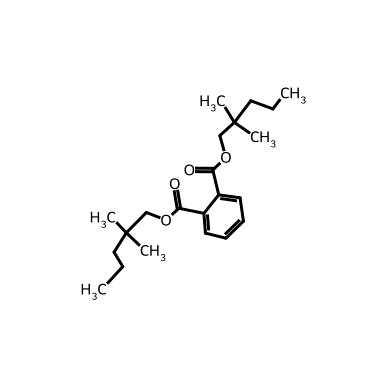 CCCC(C)(C)COC(=O)c1ccccc1C(=O)OCC(C)(C)CCC